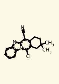 CC1(C)CCc2c(c(Cl)n3c(nc4ccccc43)c2C#N)C1